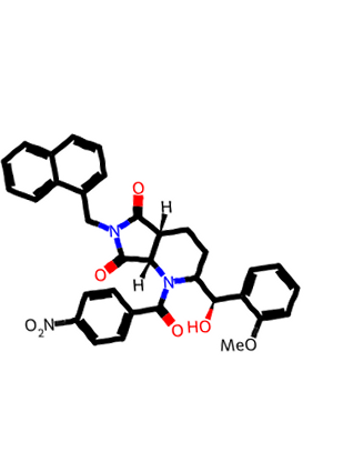 COc1ccccc1[C@@H](O)C1CC[C@H]2C(=O)N(Cc3cccc4ccccc34)C(=O)[C@H]2N1C(=O)c1ccc([N+](=O)[O-])cc1